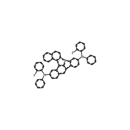 Fc1ccccc1N(c1ccccc1)c1ccc2cc3c4ccc(N(c5ccccc5)c5ccccc5F)cc4n4c5ccc6ccccc6c5c(c2c1)c34